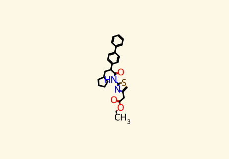 CCOC(=O)Cc1csc(NC(=O)C(CC2CCCC2)c2ccc(-c3ccccc3)cc2)n1